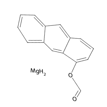 O=COc1cccc2cc3ccccc3cc12.[MgH2]